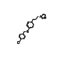 Clc1ccc(CSc2ccc(C=CCn3ccnc3)cc2)cc1